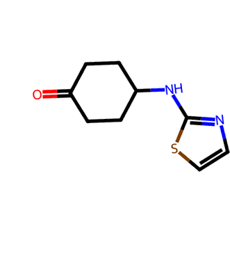 O=C1CCC(Nc2nccs2)CC1